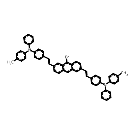 Cc1ccc(N(c2ccccc2)c2ccc(C=Cc3ccc4c(Br)c5cc(C=Cc6ccc(N(c7ccccc7)c7ccc(C)cc7)cc6)ccc5cc4c3)cc2)cc1